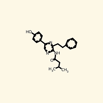 CC(C)CC(=O)Nc1ncc(-c2ccc(O)cc2)nc1CCc1ccccc1